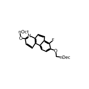 CCCCCCCCCCCOc1ccc2c(ccc3nc(OCCCCCCCC)ccc32)c1F